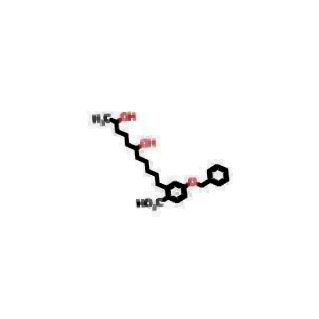 CC(O)CCCC(O)CCCCCc1cc(OCc2ccccc2)ccc1C(=O)O